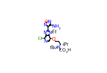 CCn1c(-c2nonc2N)nc2c(Cl)ncc(OCC[C@H](C(C)C)N(C(=O)O)C(C)(C)C)c21